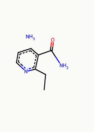 CCc1ncccc1C(N)=O.N